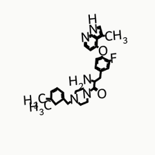 Cc1c[nH]c2nccc(Oc3ccc(CC(N)C(=O)N4CCN(CC5=CC=CC(C)(C)C5)CC4)cc3F)c12